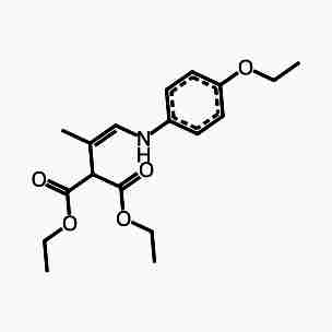 CCOC(=O)C(C(=O)OCC)C(C)=CNc1ccc(OCC)cc1